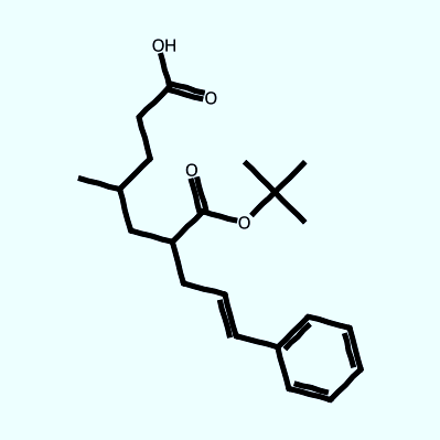 CC(CCC(=O)O)CC(C/C=C/c1ccccc1)C(=O)OC(C)(C)C